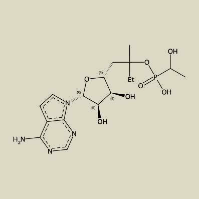 CCC(C)(C[C@H]1O[C@@H](n2ccc3c(N)ncnc32)[C@H](O)[C@@H]1O)OP(=O)(O)C(C)O